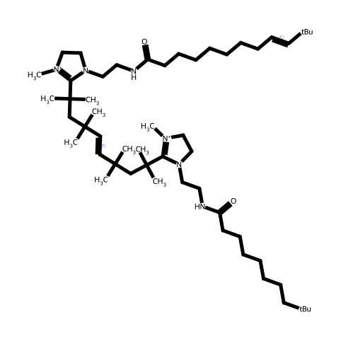 C[N+]1=C(C(C)(C)CC(C)(C)/C=C/C(C)(C)CC(C)(C)C2=[N+](C)CCN2CCNC(=O)CCCCCCCC(C)(C)C)N(CCNC(=O)CCCCCCC/C=C/C(C)(C)C)CC1